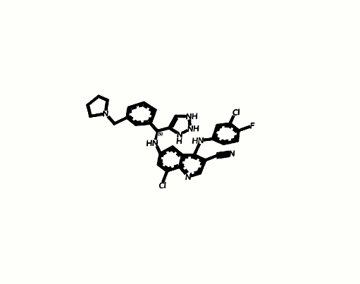 N#Cc1cnc2c(Cl)cc(N[C@H](C3=CNNN3)c3cccc(CN4CCCC4)c3)cc2c1Nc1ccc(F)c(Cl)c1